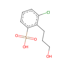 O=S(=O)(O)c1cccc(Cl)c1CCCO